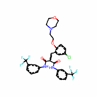 O=C(Nc1cccc(C(F)(F)F)c1)C(=Cc1cc(Cl)ccc1OCCN1CCOCC1)C(=O)Nc1cccc(C(F)(F)F)c1